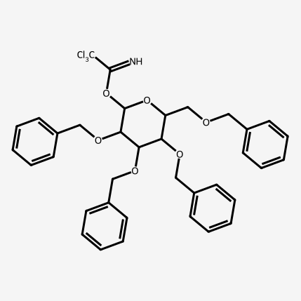 N=C(OC1OC(COCc2ccccc2)C(OCc2ccccc2)C(OCc2ccccc2)C1OCc1ccccc1)C(Cl)(Cl)Cl